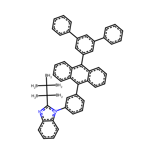 BC(B)(B)C(B)(B)c1nc2ccccc2n1-c1cccc(-c2c3ccccc3c(-c3cc(-c4ccccc4)cc(-c4ccccc4)c3)c3ccccc23)c1